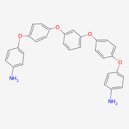 Nc1ccc(Oc2ccc(Oc3cccc(Oc4ccc(Oc5ccc(N)cc5)cc4)c3)cc2)cc1